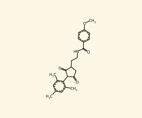 COc1ccc(C(=O)NCCC2CC(=O)C(c3c(C)cc(C)cc3C)C2=O)cc1